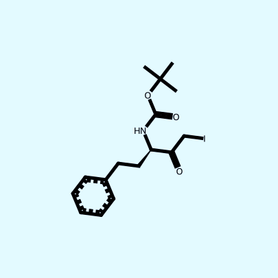 CC(C)(C)OC(=O)N[C@H](CCc1ccccc1)C(=O)CI